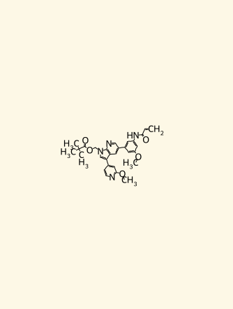 C=CC(=O)Nc1cc(OC)cc(-c2cnc3c(c2)c(-c2ccnc(OC)c2)cn3COC(=O)C(C)(C)C)c1